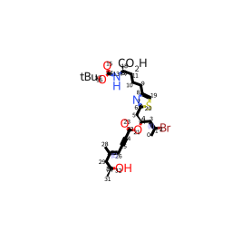 C/C(Br)=C\[C@H](Cc1nc(CCC[C@H](NC(=O)OC(C)(C)C)C(=O)O)cs1)OC(=O)C#C/C=C(\C)C[C@H](C)O